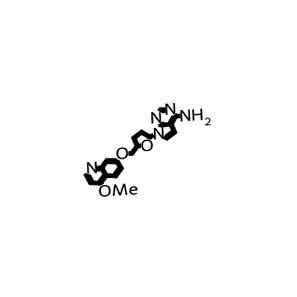 COc1ccnc2cc(OCC3CCC(n4ccc5c(N)ncnc54)O3)ccc12